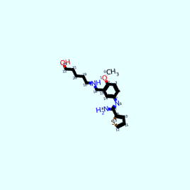 COc1ccc(N=C(N)c2cccs2)cc1CNCCCCCO